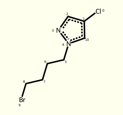 Clc1cnn(CCCCBr)c1